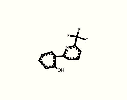 Oc1ccccc1-c1cccc(C(F)(F)F)n1